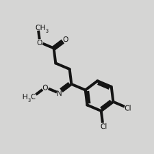 CON=C(CCC(=O)OC)c1ccc(Cl)c(Cl)c1